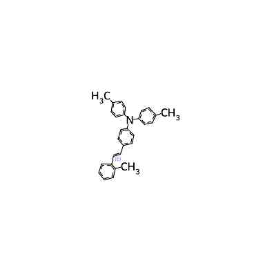 Cc1ccc(N(c2ccc(C)cc2)c2ccc(/C=C/c3ccccc3C)cc2)cc1